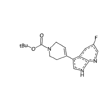 CC(C)(C)OC(=O)N1CC=C(c2c[nH]c3ncc(F)cc23)CC1